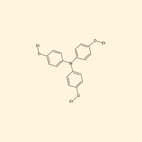 CCOc1cc[c]([Bi]([c]2ccc(OCC)cc2)[c]2ccc(OCC)cc2)cc1